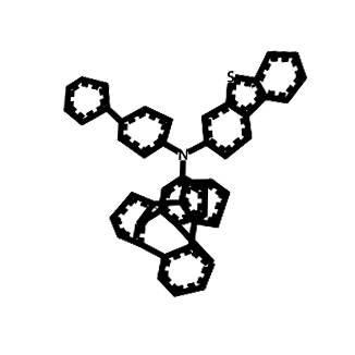 c1ccc(-c2ccc(N(c3ccc4c(c3)-c3c5cccc3-c3cccc-4c3-c3ccccc3-5)c3ccc4c(c3)sc3ccccc34)cc2)cc1